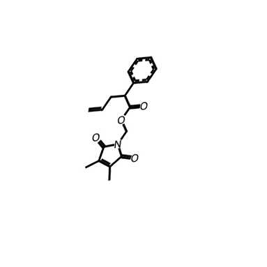 C=CCC(C(=O)OCN1C(=O)C(C)=C(C)C1=O)c1ccccc1